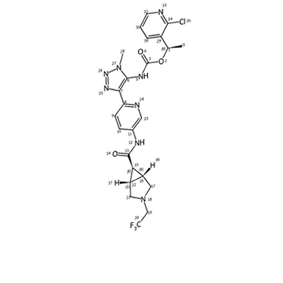 C[C@@H](OC(=O)Nc1c(-c2ccc(NC(=O)[C@H]3[C@@H]4CN(CC(F)(F)F)C[C@@H]43)cn2)nnn1C)c1cccnc1Cl